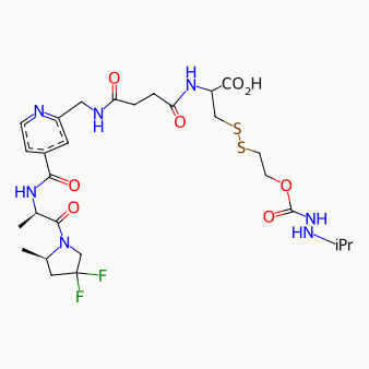 CC(C)NNC(=O)OCCSSCC(NC(=O)CCC(=O)NCc1cc(C(=O)N[C@H](C)C(=O)N2CC(F)(F)C[C@H]2C)ccn1)C(=O)O